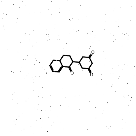 O=C1CC(=O)CC(C2CCC3CC=CC=C3C2=O)C1